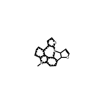 Cn1c2cccc3c4ccsc4n4c5c(ccc1c5c32)C1OC=CC14